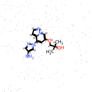 CC(C)(O)COc1cc(-n2cc(N)cn2)c2ccnn2c1